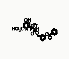 CCCC(C)(NC(=O)OCc1cccc(OC(=O)c2ccccc2)c1)c1nc(O)cc(C(=O)O)n1